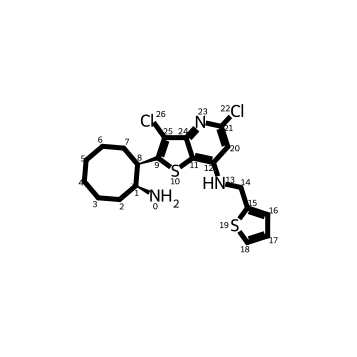 N[C@H]1CCCCCC[C@H]1c1sc2c(NCc3cccs3)cc(Cl)nc2c1Cl